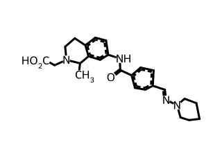 CC1c2cc(NC(=O)c3ccc(C=NN4CCCCC4)cc3)ccc2CCN1CC(=O)O